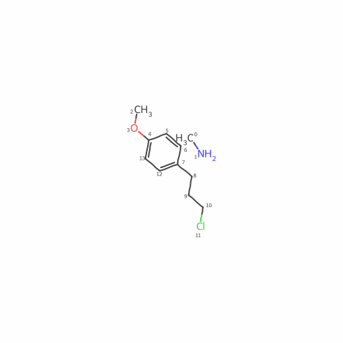 CN.COc1ccc(CCCCl)cc1